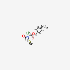 CC(=O)SC1CC(=O)N1C(Cl)C(=O)OCc1ccc([N+](=O)[O-])cc1